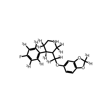 [2H]c1c([2H])c([C@@]2([2H])C(C([2H])([2H])Oc3ccc4c(c3)OC([2H])([2H])O4)C([2H])([2H])NCC2([2H])[2H])c([2H])c([2H])c1F